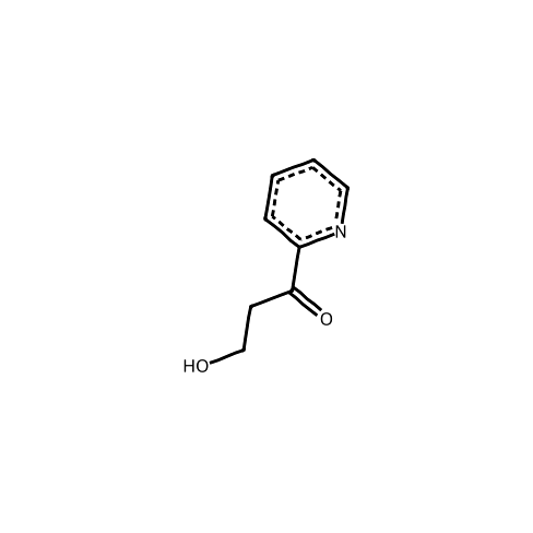 O=C(CCO)c1ccccn1